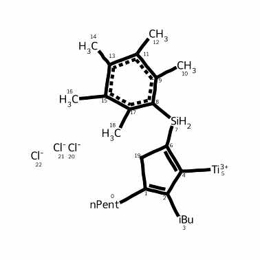 CCCCCC1=C(C(C)CC)[C]([Ti+3])=C([SiH2]c2c(C)c(C)c(C)c(C)c2C)C1.[Cl-].[Cl-].[Cl-]